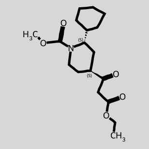 CCOC(=O)CC(=O)[C@H]1CCN(C(=O)OC)[C@H](C2CCCCC2)C1